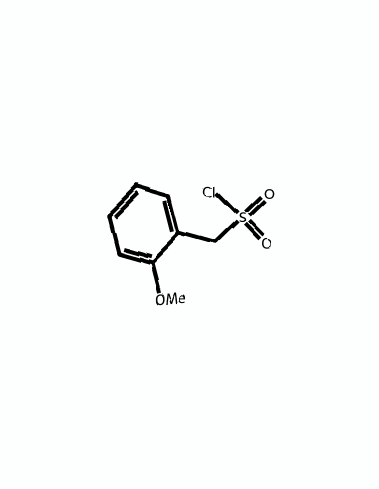 COc1ccccc1CS(=O)(=O)Cl